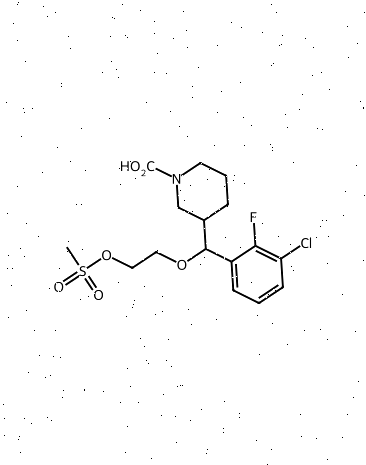 CS(=O)(=O)OCCOC(c1cccc(Cl)c1F)C1CCCN(C(=O)O)C1